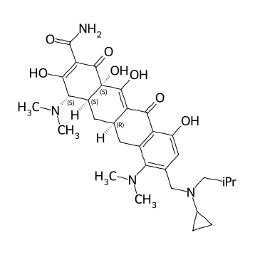 CC(C)CN(Cc1cc(O)c2c(c1N(C)C)C[C@H]1C[C@H]3[C@H](N(C)C)C(O)=C(C(N)=O)C(=O)[C@@]3(O)C(O)=C1C2=O)C1CC1